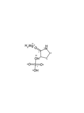 O=C1CCCN1.O=S(=O)(O)O.[MgH2]